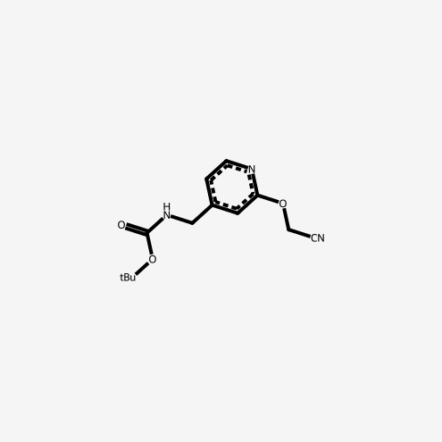 CC(C)(C)OC(=O)NCc1ccnc(OCC#N)c1